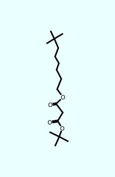 CC(C)(C)CCCCCCOC(=O)CC(=O)OC(C)(C)C